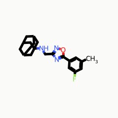 Cc1cc(F)cc(-c2nc(CNC34CC5CC(CC(C5)C3)C4)no2)c1